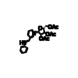 CC(=O)OC[C@H]1O[C@@H]([n+]2cccc(C=[SH]c3ccccc3)c2)[C@H](OC(C)=O)[C@@H]1OC(C)=O